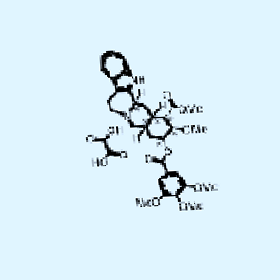 COC(=O)[C@H]1[C@H]2C[C@@H]3c4[nH]c5ccccc5c4CCN3C[C@H]2C[C@@H](OC(=O)c2cc(OC)c(OC)c(OC)c2)[C@@H]1OC.O=C(O)C(=O)O